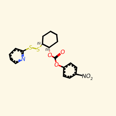 O=C(Oc1ccc([N+](=O)[O-])cc1)O[C@H]1CCCC[C@@H]1SSc1ccccn1